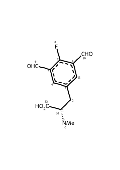 CN[C@@H](Cc1cc(C=O)c(F)c(C=O)c1)C(=O)O